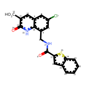 O=C(NCc1cc(Cl)cc2cc(C(=O)O)c(=O)[nH]c12)c1cc2ccccc2s1